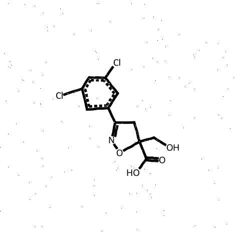 O=C(O)C1(CO)CC(c2cc(Cl)cc(Cl)c2)=NO1